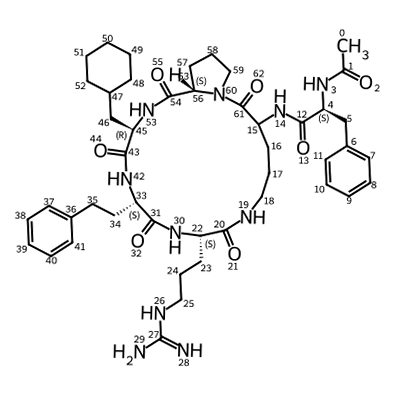 CC(=O)N[C@@H](Cc1ccccc1)C(=O)NC1CCCNC(=O)[C@H](CCCNC(=N)N)NC(=O)[C@H](CCc2ccccc2)NC(=O)[C@@H](CC2CCCCC2)NC(=O)[C@@H]2CCCN2C1=O